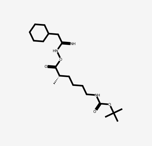 C[C@@H](CCCCNC(=O)OC(C)(C)C)C(=O)ONC(=N)CC1CCCCC1